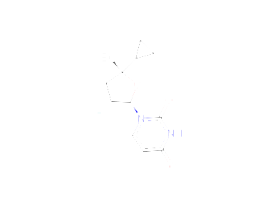 CC[C@@]1(C2CC2)O[C@@H](n2ccc(=O)[nH]c2=O)[C@H](F)[C@@H]1C